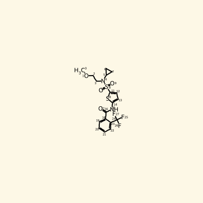 COCCN(C1CC1)S(=O)(=O)c1ccc(NC(=O)c2ccccc2C(F)(F)F)s1